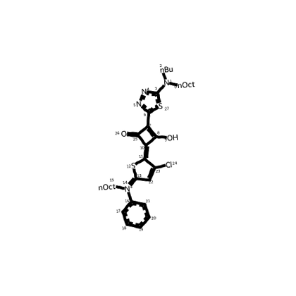 CCCCCCCCN(CCCC)c1nnc(C2=C(O)/C(=C3/S/C(=[N+](\CCCCCCCC)c4ccccc4)C=C3Cl)C2=O)s1